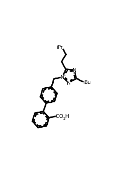 CCC(C)c1nc(CCC(C)C)n(Cc2ccc(-c3ccccc3C(=O)O)cc2)n1